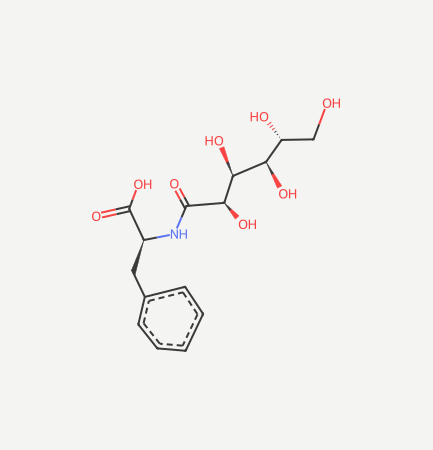 O=C(O)[C@H](Cc1ccccc1)NC(=O)[C@H](O)[C@@H](O)[C@H](O)[C@H](O)CO